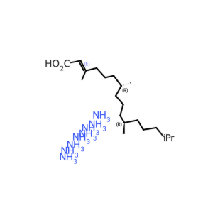 C/C(=C\C(=O)O)CCC[C@H](C)CCC[C@H](C)CCCC(C)C.N.N.N.N.N.N.N.N